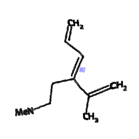 C=C/C=C(\CCNC)C(=C)C